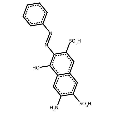 Nc1cc2c(O)c(N=Nc3ccccc3)c(S(=O)(=O)O)cc2cc1S(=O)(=O)O